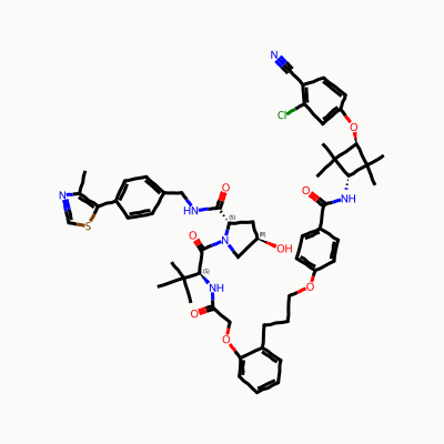 Cc1ncsc1-c1ccc(CNC(=O)[C@@H]2C[C@@H](O)CN2C(=O)[C@@H](NC(=O)COc2ccccc2CCCOc2ccc(C(=O)N[C@H]3C(C)(C)[C@H](Oc4ccc(C#N)c(Cl)c4)C3(C)C)cc2)C(C)(C)C)cc1